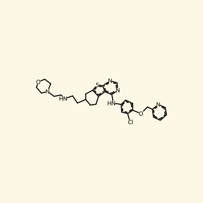 Clc1cc(Nc2ncnc3sc4c(c23)CCC(CCNCCN2CCOCC2)C4)ccc1OCc1ccccn1